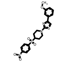 COc1cccc(-c2csc(N3CCC(S(=O)(=O)c4ccc([N+](=O)[O-])cc4)CC3)n2)c1